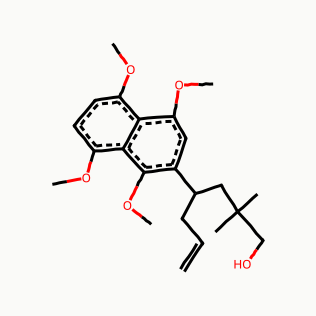 C=CCC(CC(C)(C)CO)c1cc(OC)c2c(OC)ccc(OC)c2c1OC